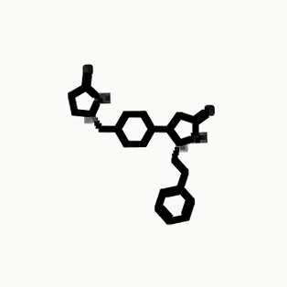 O=C1CC[C@@H](CC2CCC(C3CC(=O)N[C@@H]3CCc3ccccc3)CC2)N1